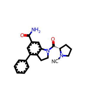 N#CN1CCC[C@H]1C(=O)N1CCc2c(-c3ccccc3)cc(C(N)=O)cc21